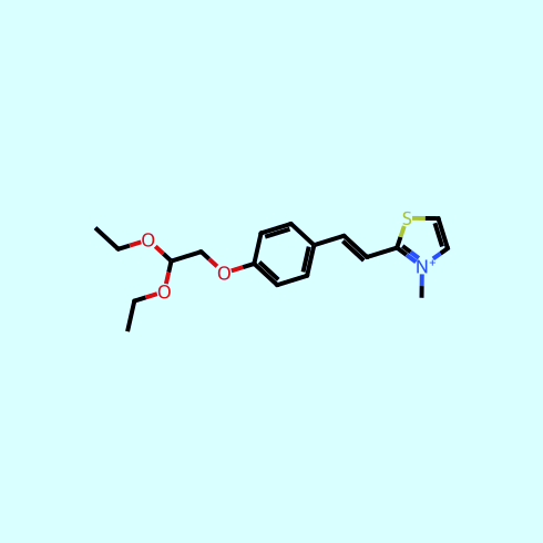 CCOC(COc1ccc(C=Cc2scc[n+]2C)cc1)OCC